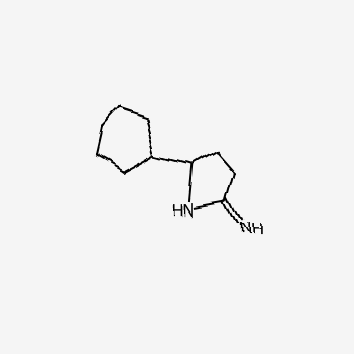 N=C1CCC(C2CCCCC2)N1